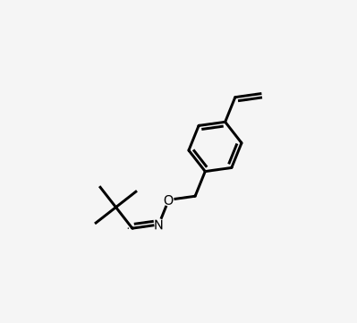 C=Cc1ccc(CO/N=[C]\C(C)(C)C)cc1